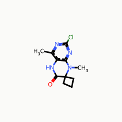 Cc1nc(Cl)nc2c1NC(=O)C1(CCC1)N2C